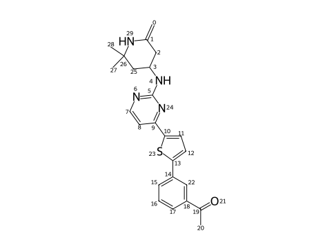 C=C1CC(Nc2nccc(-c3ccc(-c4cccc(C(C)=O)c4)s3)n2)CC(C)(C)N1